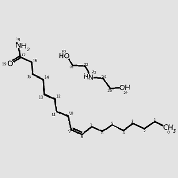 CCCCCCCC/C=C\CCCCCCCC(N)=O.OCCNCCO